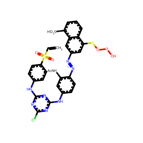 C=CS(=O)(=O)c1ccc(Nc2nc(Cl)nc(Nc3ccc(/N=N/c4cc(SOOO)c5cccc(S(=O)(=O)O)c5c4)c(NC(C)=O)c3)n2)cc1